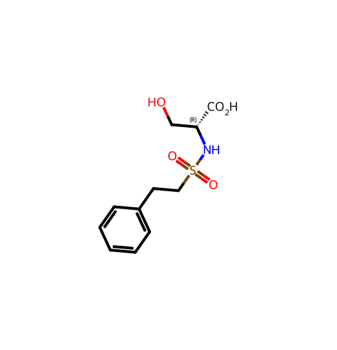 O=C(O)[C@@H](CO)NS(=O)(=O)CCc1ccccc1